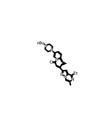 CCCCN1CCN(C2=CN3C(=O)\C=C(c4cc5c(CC)nc(C)cn5n4)/C=C/C=C/3C=C2)CC1